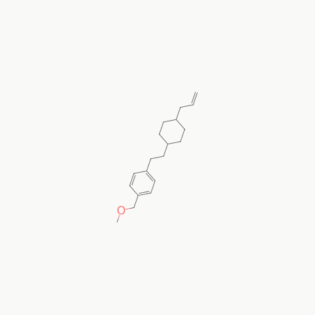 C=CCC1CCC(CCc2ccc(COC)cc2)CC1